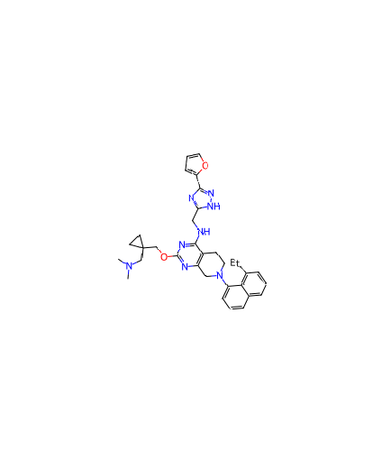 CCc1cccc2cccc(N3CCc4c(nc(OCC5(CN(C)C)CC5)nc4NCc4nc(-c5ccco5)n[nH]4)C3)c12